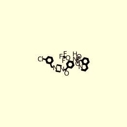 O=C(c1ccc(NS(=O)(=O)c2cccc3cccnc23)c(OC(F)(F)F)c1)N1CCN(Cc2cccc(Cl)c2)CC1